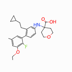 CCOc1cc(C)cc(-c2ccc(NC3(C(=O)O)CCOCC3)cc2CCC2CC2)c1F